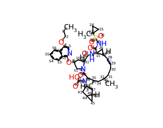 CCCOc1cnc(O[C@@H]2C[C@H]3C(=O)N[C@]4(C(=O)NS(=O)(=O)C5(C)CC5)C[C@H]4/C=C\CC[C@H](C)C[C@@H](C)[C@H](N(C(=O)O)[C@H]4CC5C[C@H]5C4)C(=O)N3C2)c2ccccc12